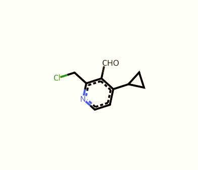 O=Cc1c(C2CC2)ccnc1CCl